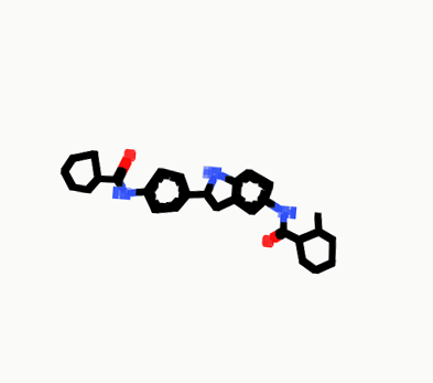 CC1CCCCC1C(=O)Nc1ccc2c(c1)CC(c1ccc(NC(=O)C3CCCCC3)cc1)N2